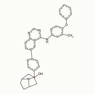 Cc1cc(Nc2ncnc3ccc(-c4ccc(CN5C6CCC5CC(O)C6)cc4)cc23)ccc1Oc1ccccc1